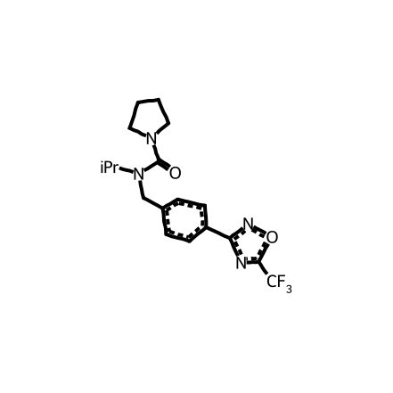 CC(C)N(Cc1ccc(-c2noc(C(F)(F)F)n2)cc1)C(=O)N1CCCC1